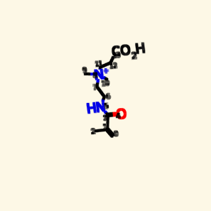 C=C(C)C(=O)NCC[N+](C)(C)CCC(=O)O